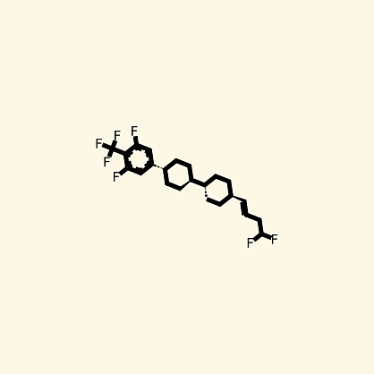 Fc1cc([C@H]2CC[C@H]([C@H]3CC[C@H](C=CCC(F)F)CC3)CC2)cc(F)c1C(F)(F)F